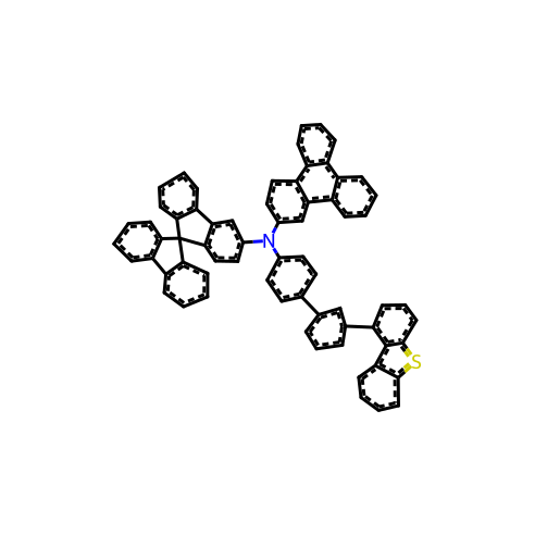 c1cc(-c2ccc(N(c3ccc4c(c3)-c3ccccc3C43c4ccccc4-c4ccccc43)c3ccc4c5ccccc5c5ccccc5c4c3)cc2)cc(-c2cccc3sc4ccccc4c23)c1